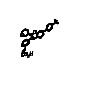 CN(C)c1ccc(-c2ccc(CN(C(=O)C3CCCOC3)c3cccc(/C=C/C(=O)O)c3)cc2)cc1